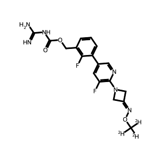 [2H]C([2H])([2H])ON=C1CN(c2ncc(-c3cccc(COC(=O)NC(=N)N)c3F)cc2F)C1